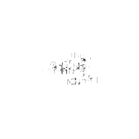 CC(C)CC(NC(Cc1cncn1Cc1cc(Cl)cc(I)c1)C(=O)OC(C)OC(=O)C(C)(C)C)C(=O)OC(C)OC(=O)C(C)(C)C